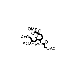 COC(=O)[C@]1(O)CC[C@@H](NC(=O)COC(C)=O)[C@H]([C@H](OC(C)=O)[C@@H](COC(C)=O)OC(C)=O)O1